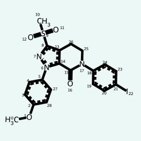 COc1ccc(-n2nc(S(C)(=O)=O)c3c2C(=O)N(c2ccc(I)cc2)CC3)cc1